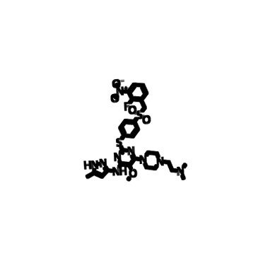 COc1c(Nc2cc(C)[nH]n2)nc(Sc2ccc(S(=O)(=O)Cc3cccc([N+](=O)[O-])c3F)cc2)nc1N1CCN(CCN(C)C)CC1